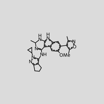 COc1cc2c3c([nH]c2cc1-c1c(C)noc1C)NC(C)N=C3Nc1c2c(nn1C1CC1)CCC2